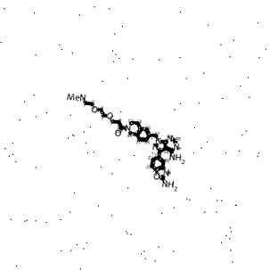 CNCCOCCOCCC(=O)N1CCc2cc(Cn3nc(-c4ccc5oc(N)nc5c4)c4c(N)ncnc43)ccc2C1